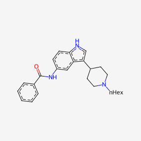 CCCCCCN1CCC(c2c[nH]c3ccc(NC(=O)c4ccccc4)cc23)CC1